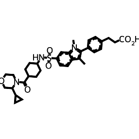 Cc1c(-c2ccc(CCC(=O)O)cc2)n(C)c2cc(S(=O)(=O)NC3CCC(C(=O)N4CCOCC4C4CC4)CC3)ccc12